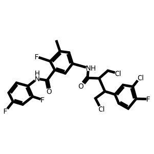 Cc1cc(NC(=O)C(CCl)C(CCl)c2ccc(F)c(Cl)c2)cc(C(=O)Nc2ccc(F)cc2F)c1F